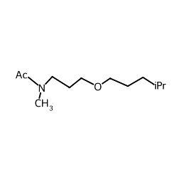 CC(=O)N(C)CCCOCCCC(C)C